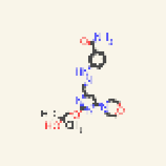 CC(C)(O)COc1nc(/C=N/Nc2cccc(C(N)=O)c2)cc(N2CCOCC2)n1